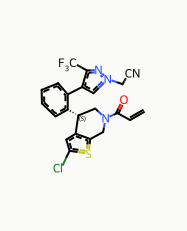 C=CC(=O)N1Cc2sc(Cl)cc2[C@H](c2ccccc2-c2cn(CC#N)nc2C(F)(F)F)C1